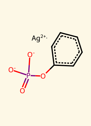 O=P([O-])([O-])Oc1ccccc1.[Ag+2]